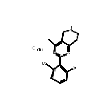 CCc1cccc(CC)c1-c1cc(C)c2c(n1)CCNC2.Cl.Cl